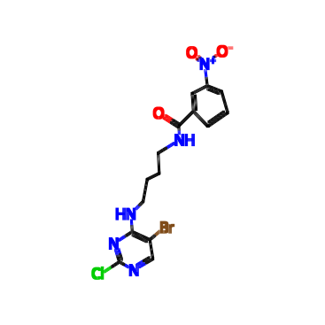 O=C(NCCCCNc1nc(Cl)ncc1Br)c1cccc([N+](=O)[O-])c1